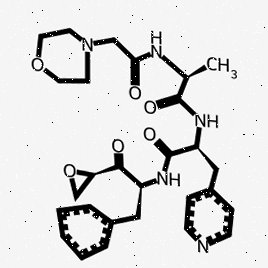 C[C@H](NC(=O)CN1CCOCC1)C(=O)N[C@@H](Cc1ccncc1)C(=O)N[C@@H](Cc1ccccc1)C(=O)[C@H]1CO1